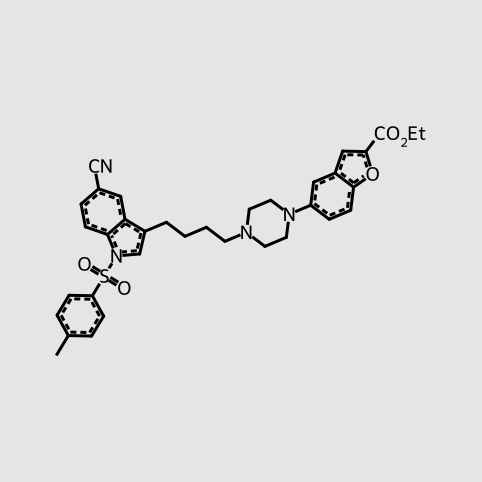 CCOC(=O)c1cc2cc(N3CCN(CCCCc4cn(S(=O)(=O)c5ccc(C)cc5)c5ccc(C#N)cc45)CC3)ccc2o1